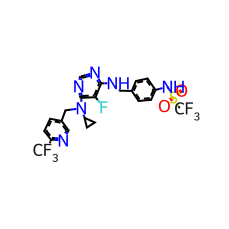 O=S(=O)(Nc1ccc(CNc2ncnc(N(Cc3ccc(C(F)(F)F)nc3)C3CC3)c2F)cc1)C(F)(F)F